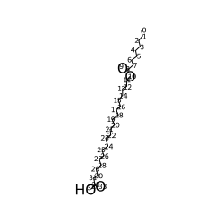 CCCCCCCCC(=O)OCCCCCCCCCCCCCCCCCCCCCC(=O)O